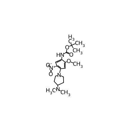 COc1cc(N2CCC(N(C)C)CC2)c([N+](=O)[O-])cc1NC(=O)OC(C)(C)C